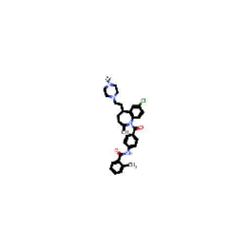 CC(=O)N1CCN(CCC2CCC(C)N(C(=O)c3ccc(NC(=O)c4ccccc4C)cc3)c3ccc(Cl)cc32)CC1